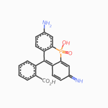 N=C1C=CC2=C(c3ccccc3C(=O)O)c3ccc(N)cc3P(=O)(O)C2=C1